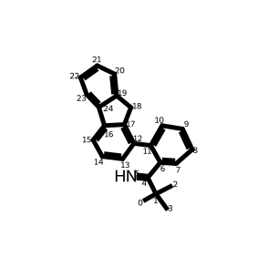 CC(C)(C)C(=N)c1ccccc1-c1cccc2c1Cc1ccccc1-2